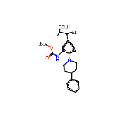 CCC(c1ccc(N2CCC(c3ccccc3)CC2)c(NC(=O)OC(C)(C)C)c1)C(C)C(=O)O